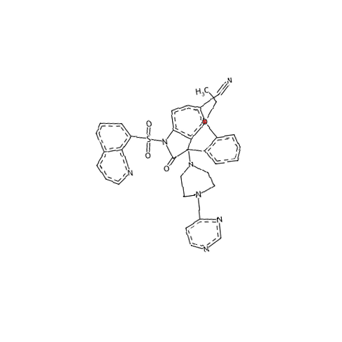 CCOc1ccccc1C1(N2CCN(c3ccncn3)CC2)C(=O)N(S(=O)(=O)c2cccc3cccnc23)c2ccc(C#N)cc21